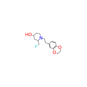 OC1CCN(CCc2ccc3c(c2)OCCO3)C(CF)C1